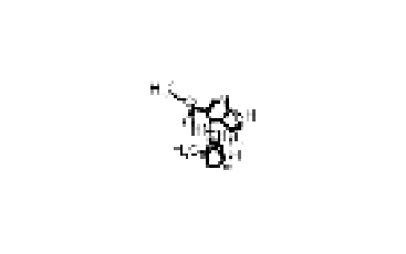 CCOC(=O)c1cnc2[nH]ccc2c1N[C@H]1C[C@H]2CC[C@@]1(C)C2(C)C